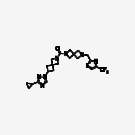 O=C(N1CC2(CC(n3cnc(C4CC4)n3)C2)C1)N1CC2(CN(Cc3nc(C(F)(F)F)cs3)C2)C1